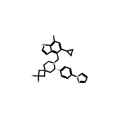 Cc1cc(C2CC2)c(CN2CCC3(C[C@H]2c2ccc(-n4cccn4)cc2)CC(F)(F)C3)c2cc[nH]c12